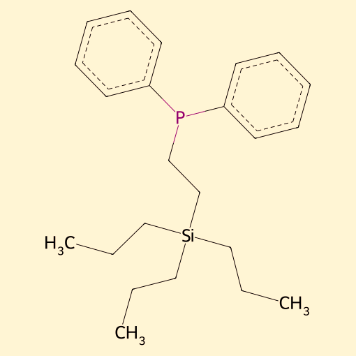 CCC[Si](CCC)(CCC)CCP(c1ccccc1)c1ccccc1